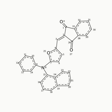 O=C1C(=Cc2ccc(N(c3ccccc3)c3cccc4ccccc34)o2)C(=O)c2ccccc21